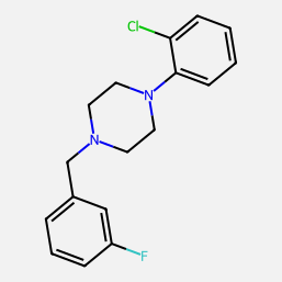 Fc1cccc(CN2CCN(c3ccccc3Cl)CC2)c1